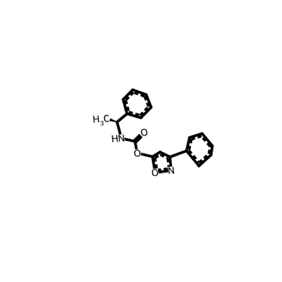 C[C@H](NC(=O)Oc1cc(-c2ccccc2)no1)c1ccccc1